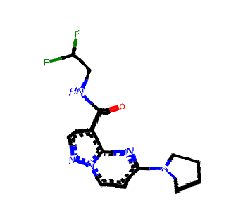 O=C(NCC(F)F)c1cnn2ccc(N3CCCC3)nc12